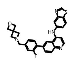 Fc1cc(CN2CC3(COC3)C2)ccc1-c1ccc2nccc(Nc3ccc4scnc4c3)c2c1